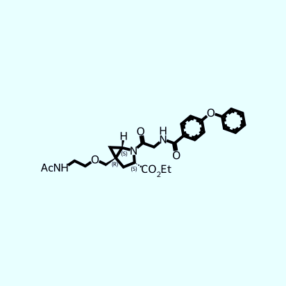 CCOC(=O)[C@@H]1C[C@]2(COCCNC(C)=O)C[C@@H]2N1C(=O)CNC(=O)c1ccc(Oc2ccccc2)cc1